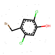 Oc1cc(Cl)c(CBr)cc1Cl